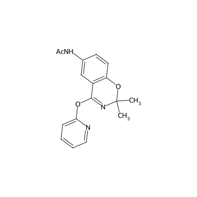 CC(=O)Nc1ccc2c(c1)C(Oc1ccccn1)=NC(C)(C)O2